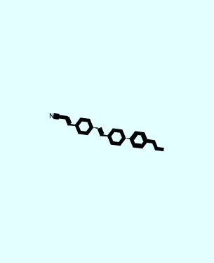 CCCc1ccc([C@H]2CC[C@H](C=C[C@H]3CC[C@H](C=CC#N)CC3)CC2)cc1